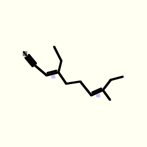 CC/C(C)=C\CC/C(=C/C#N)CC